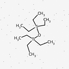 C[CH2][Ti]([CH2]C)([CH2]C)[O][Ti]([CH2]C)([CH2]C)[CH2]C